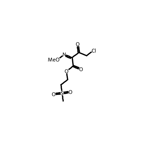 CON=C(C(=O)CCl)C(=O)OCCS(C)(=O)=O